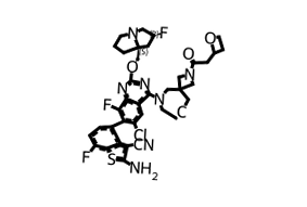 N#Cc1c(N)sc2c(F)ccc(-c3c(Cl)cc4c(N5CCCCC6(CN(C(=O)CC7CCO7)C6)C5)nc(OC[C@@]56CCCN5C[C@H](F)C6)nc4c3F)c12